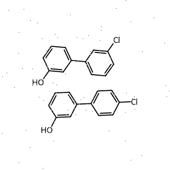 Oc1cccc(-c2ccc(Cl)cc2)c1.Oc1cccc(-c2cccc(Cl)c2)c1